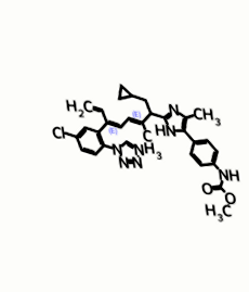 C=C/C(=C\C=C(/C)C(CC1CC1)c1nc(C)c(-c2ccc(NC(=O)OC)cc2)[nH]1)c1cc(Cl)ccc1-n1cnnn1